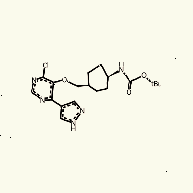 CC(C)(C)OC(=O)N[C@H]1CC[C@@H](COc2c(Cl)ncnc2-c2cn[nH]c2)CC1